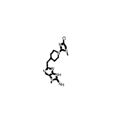 Cn1cc(Cl)nc1N1CCC(Cc2ncc3c(n2)[nH]c(=N)n3C)CC1